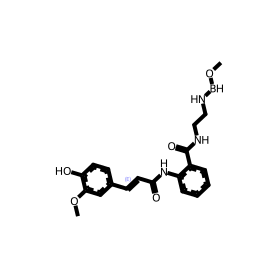 COBNCCNC(=O)c1ccccc1NC(=O)/C=C/c1ccc(O)c(OC)c1